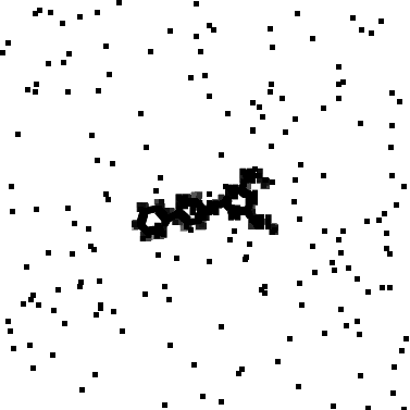 Nc1nc(N)nc(N)n1.c1ccc(-c2ccccn2)nc1